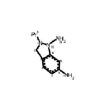 CC(C)N1Cc2ccc(N)cc2N1N